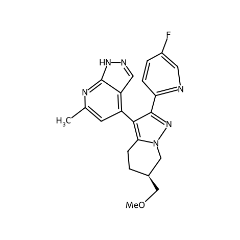 COC[C@H]1CCc2c(-c3cc(C)nc4[nH]ncc34)c(-c3ccc(F)cn3)nn2C1